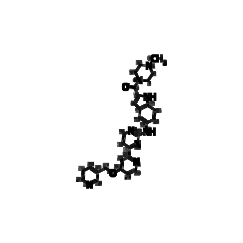 CN1CCN(C(=O)c2cc3cc(Nc4nccc(-c5cc(OCc6cccnc6)ccn5)n4)ccc3[nH]2)CC1